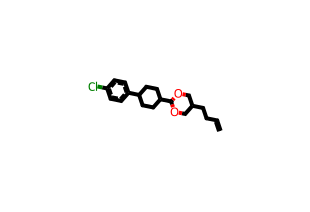 C=CCCC1COC(C2CCC(c3ccc(Cl)cc3)CC2)OC1